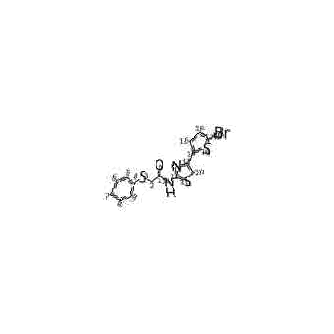 O=C(CSc1ccccc1)Nc1nc(-c2ccc(Br)s2)cs1